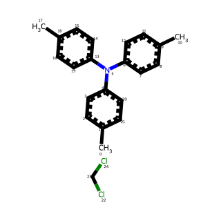 Cc1ccc(N(c2ccc(C)cc2)c2ccc(C)cc2)cc1.ClCCl